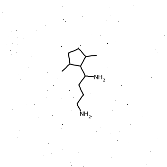 CC1CCC(C)C1C(N)CCCN